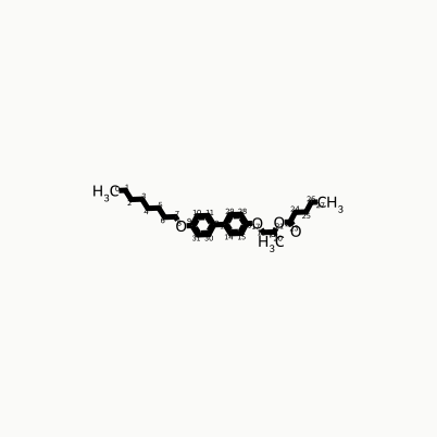 CCCCCCCCOc1ccc(-c2ccc(OC[C@H](C)OC(=O)CCCC)cc2)cc1